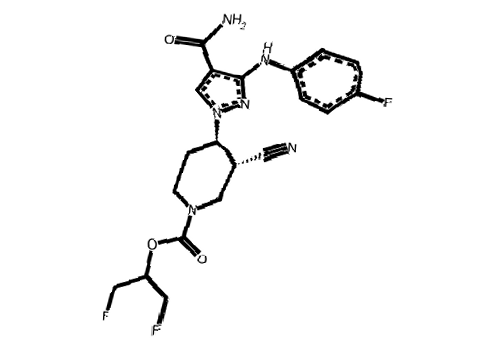 N#C[C@@H]1CN(C(=O)OC(CF)CF)CC[C@H]1n1cc(C(N)=O)c(Nc2ccc(F)cc2)n1